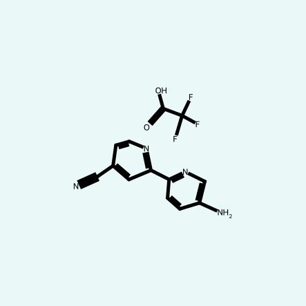 N#Cc1ccnc(-c2ccc(N)cn2)c1.O=C(O)C(F)(F)F